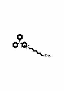 CCCCCCCCCCCCCCCCCC(=O)O.c1cc[c]([Al]([c]2ccccc2)[c]2ccccc2)cc1